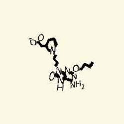 CCCCOc1nc(N)c2[nH]c(=O)n(CCCCN3CCCC(CC(=O)OC)C3)c2n1